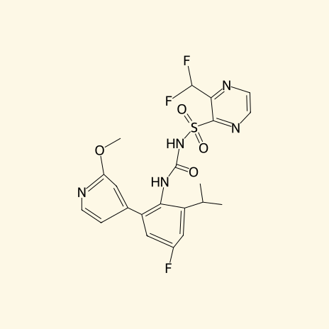 COc1cc(-c2cc(F)cc(C(C)C)c2NC(=O)NS(=O)(=O)c2nccnc2C(F)F)ccn1